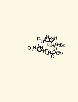 CC(C)(C)OC(=O)Nc1c[nH]c2ncc(OC3CCC3)cc12.Cc1nc(N2CCN(C(=O)OC(C)(C)C)CC2)ccc1[N+](=O)[O-]